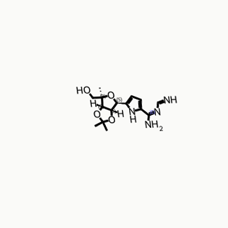 CC1(C)O[C@H]2[C@H](c3ccc(/C(N)=N\C=N)[nH]3)O[C@](C)(CO)[C@H]2O1